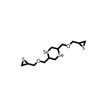 C(OCC1C[Se]C(COCC2CS2)C[Se]1)C1CS1